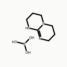 C1CN=C2NCCCN2C1.OB(O)O